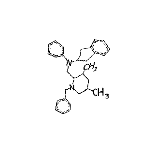 CC1CC(C)C(CN(c2ccccc2)C2Cc3ccccc3C2)N(Cc2ccccc2)C1